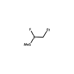 CCCB(F)SC